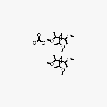 COC(C)[N+](C)(C(C)OC)C(C)OC.COC(C)[N+](C)(C(C)OC)C(C)OC.O=C([O-])[O-]